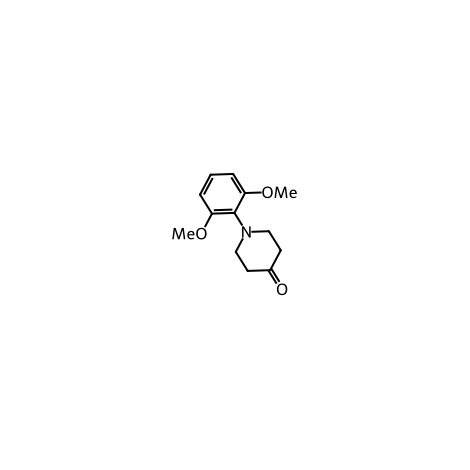 COc1cccc(OC)c1N1CCC(=O)CC1